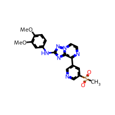 COc1ccc(Nc2nc3c(-c4cncc(S(C)(=O)=O)c4)nccn3n2)cc1OC